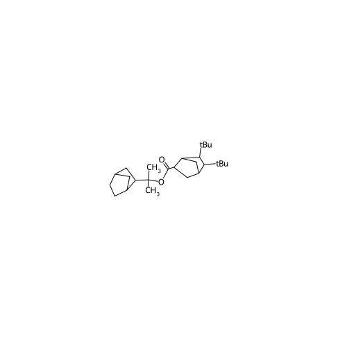 CC(C)(C)C1C2CC(C(=O)OC(C)(C)C3CC4CCC3C4)C(C2)C1C(C)(C)C